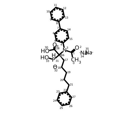 CC(=O)N(c1ccc(-c2ccccc2)cc1)[C@@](CCCCCc1ccccc1)(C(=O)O)[PH](=O)O.[Na].[Na]